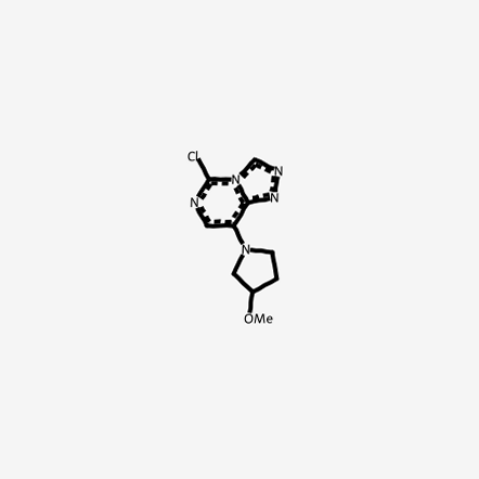 COC1CCN(c2cnc(Cl)n3cnnc23)C1